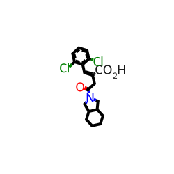 O=C(O)C(=Cc1c(Cl)cccc1Cl)CC(=O)N1CC2CCCCC2C1